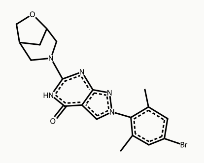 Cc1cc(Br)cc(C)c1-n1cc2c(=O)[nH]c(N3CC4COC(C4)C3)nc2n1